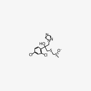 C[S+]([O-])CSCC(O)(Cn1cncn1)c1ccc(Cl)cc1Cl